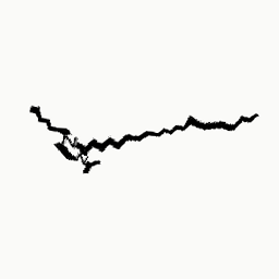 CCCCCCCCCCCCCCCCCCCC1N(CCCCCC)C=CN1C(C)C